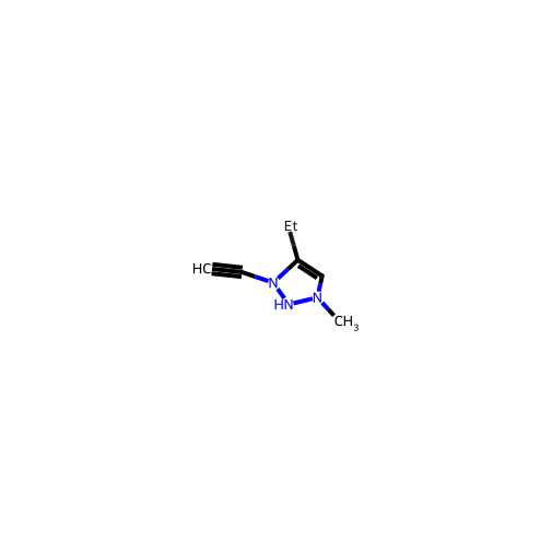 C#CN1NN(C)C=C1CC